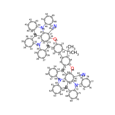 CC1(C)c2cc3c(cc2-c2cc4c(cc21)Oc1c(C#N)c2c5c6c1B4c1ccccc1N6c1ccccc1B5c1ccccc1N2c1ccccc1)B1c2ccccc2N2c4ccccc4B4c5ccccc5N(c5ccccc5)c5c(C#N)c(c1c2c54)O3